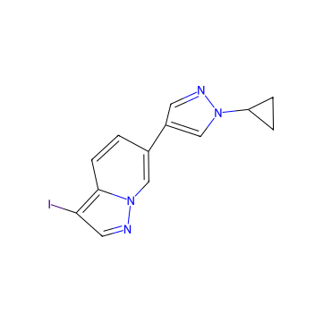 Ic1cnn2cc(-c3cnn(C4CC4)c3)ccc12